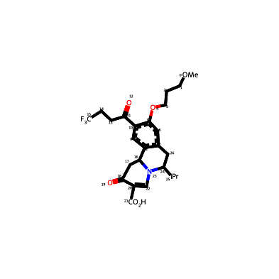 COCCCOc1cc2c(cc1C(=O)CCC(F)(F)F)C1CC(=O)C(C(=O)O)=CN1C(C(C)C)C2